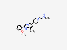 CNCCN1CCC(c2cc(C)c3nc(-c4ccccc4OC)cn3c2)CC1